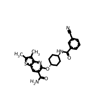 Cc1sc2cc(C(N)=O)c(O[C@H]3CC[C@H](NC(=O)c4cccc(C#N)c4)CC3)nc2c1C